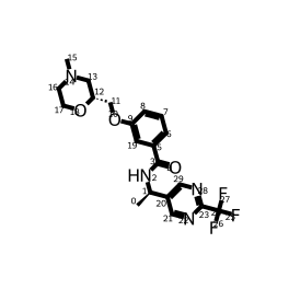 C[C@@H](NC(=O)c1cccc(OC[C@H]2CN(C)CCO2)c1)c1cnc(C(F)(F)F)nc1